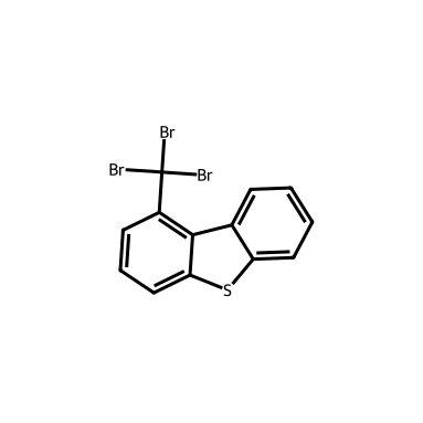 BrC(Br)(Br)c1cccc2sc3ccccc3c12